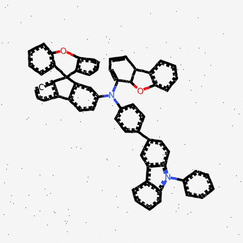 C1=CC2c3ccccc3OC2C(N(c2ccc(-c3ccc4c(c3)c3ccccc3n4-c3ccccc3)cc2)c2ccc3c(c2)C2(c4ccccc4Oc4ccccc42)c2ccccc2-3)=C1